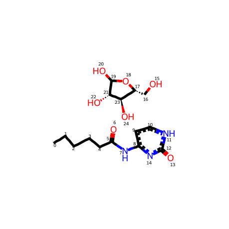 CCCCCC(=O)Nc1cc[nH]c(=O)n1.OC[C@H]1OC(O)[C@@H](O)[C@@H]1O